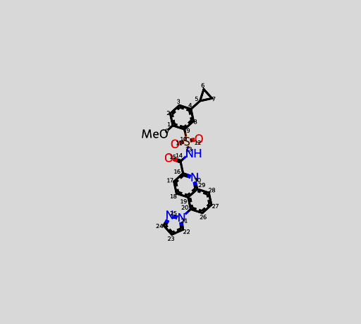 COc1ccc(C2CC2)cc1S(=O)(=O)NC(=O)c1ccc2c(-n3cccn3)cccc2n1